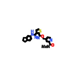 CNC(=O)c1cc(COc2nnc(Nc3ccc4c(c3)CCC4)c3ccsc23)ccn1